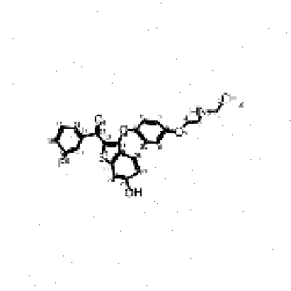 CCNCCOc1ccc(Oc2c(C(=O)c3cccc(F)c3)sc3cc(O)ccc23)cc1